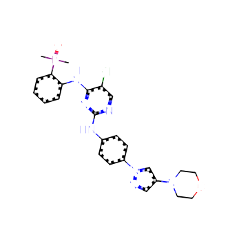 CP(C)(=O)c1ccccc1Nc1nc(Nc2ccc(-n3cc(N4CCOCC4)cn3)cc2)ncc1Cl